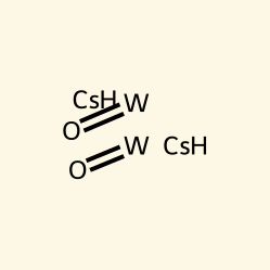 [CsH].[CsH].[O]=[W].[O]=[W]